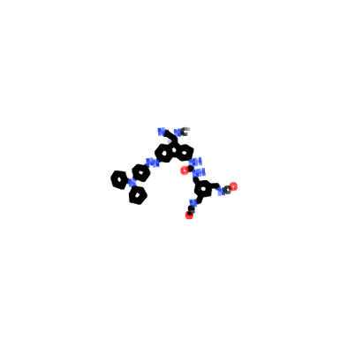 [C-]#[N+]/C(C#N)=C1/c2ccc(/N=N/c3ccc(N(c4ccccc4)c4ccccc4)cc3)cc2-c2cc(NC(=O)NCc3cc(CN=C=O)cc(CN=C=O)c3)ccc21